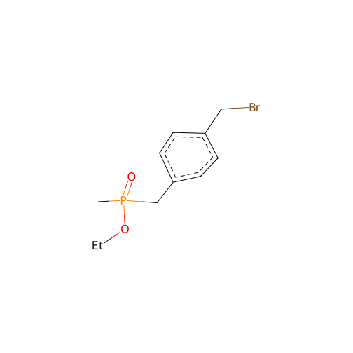 CCOP(C)(=O)Cc1ccc(CBr)cc1